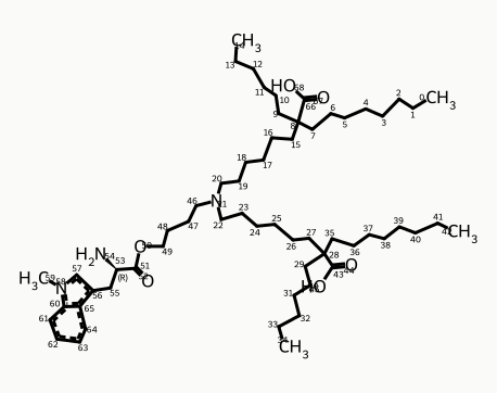 CCCCCCCCC(CCCCCC)(CCCCCCN(CCCCCCC(CCCCCC)(CCCCCCCC)C(=O)O)CCCCOC(=O)[C@H](N)Cc1cn(C)c2ccccc12)C(=O)O